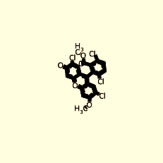 COC(=O)c1c(Cl)ccc(Cl)c1-c1c2cc(Cl)c(=O)cc-2oc2cc(OC)c(Cl)cc12